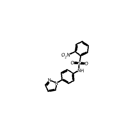 O=[N+]([O-])c1ccccc1S(=O)(=O)Nc1ccc(-n2cccn2)cc1